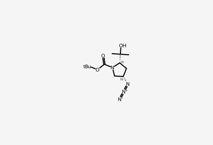 CC(C)(C)OC(=O)N1C[C@@H](N=[N+]=[N-])C[C@H]1C(C)(C)O